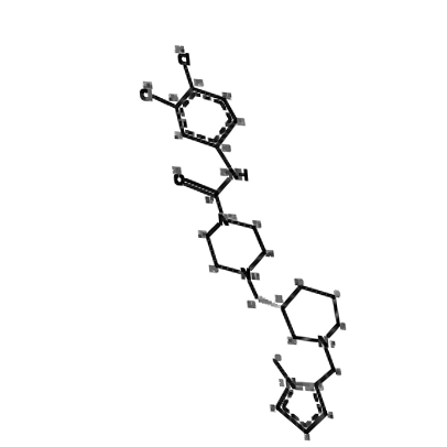 Cn1cccc1CN1CCC[C@@H](CN2CCN(C(=O)Nc3ccc(Cl)c(Cl)c3)CC2)C1